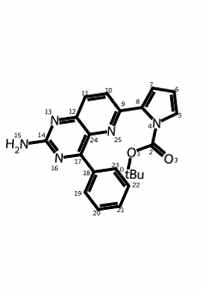 CC(C)(C)OC(=O)n1cccc1-c1ccc2nc(N)nc(-c3ccccc3)c2n1